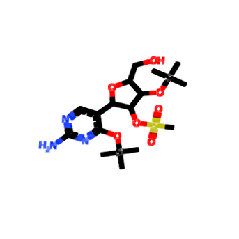 C[Si](C)(C)Oc1nc(N)ncc1C1OC(CO)C(O[Si](C)(C)C)C1OS(C)(=O)=O